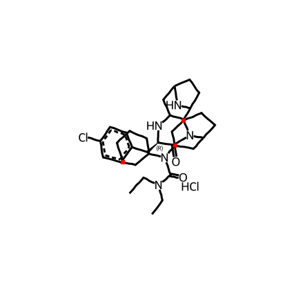 CCN(CC)C(=O)N(C1CCCCC1)C1CC2CCC(C1)N2C(=O)[C@@H](Cc1ccc(Cl)cc1)NC1CC2CCC(C1)N2.Cl